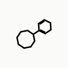 [C]1=C(C2CCCCCCC2)C=CCC1